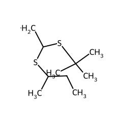 [CH2]C(SC(C)CC)SC(C)(C)C